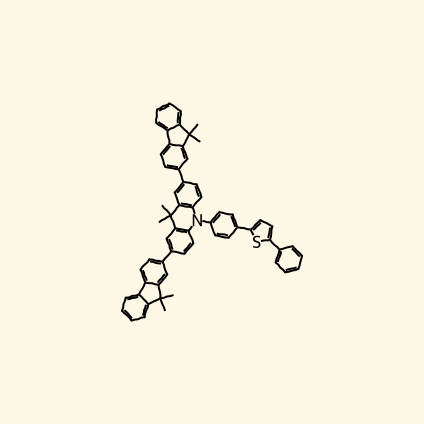 CC1(C)c2ccccc2-c2ccc(-c3ccc4c(c3)C(C)(C)c3cc(-c5ccc6c(c5)C(C)(C)c5ccccc5-6)ccc3N4c3ccc(-c4ccc(-c5ccccc5)s4)cc3)cc21